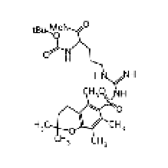 CNC(=O)C(CCCNC(=N)NS(=O)(=O)c1c(C)c(C)c2c(c1C)CCC(C)(C)O2)NC(=O)OC(C)(C)C